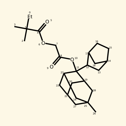 CCC(C)(C)C(=O)OCC(=O)OC1(C2CC3CCC2C3)C2CC3CC1CC(C)(C3)C2